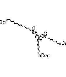 CCCCCCCC/C=C\CCCCCCCCCCCC(=O)OC[C@H](COC(=O)CCCCCCCCCCCCCCCCC)OC(=O)CCCCCCCCCCCCCCCCC